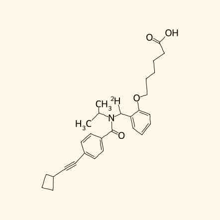 [2H]C(c1ccccc1OCCCCCC(=O)O)N(C(=O)c1ccc(C#CC2CCC2)cc1)C(C)C